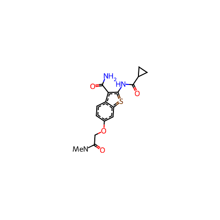 CNC(=O)COc1ccc2c(C(N)=O)c(NC(=O)C3CC3)sc2c1